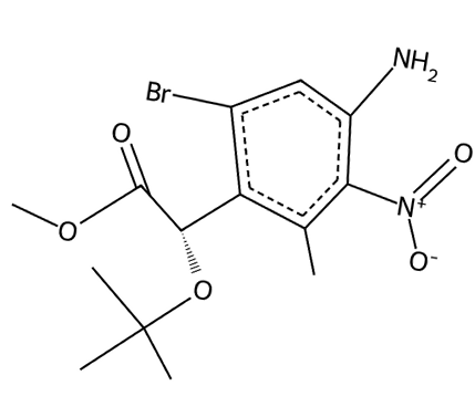 COC(=O)[C@@H](OC(C)(C)C)c1c(Br)cc(N)c([N+](=O)[O-])c1C